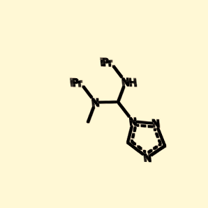 CC(C)NC(N(C)C(C)C)n1cncn1